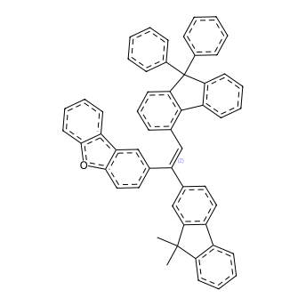 CC1(C)c2ccccc2-c2ccc(/C(=C/c3cccc4c3-c3ccccc3C4(c3ccccc3)c3ccccc3)c3ccc4oc5ccccc5c4c3)cc21